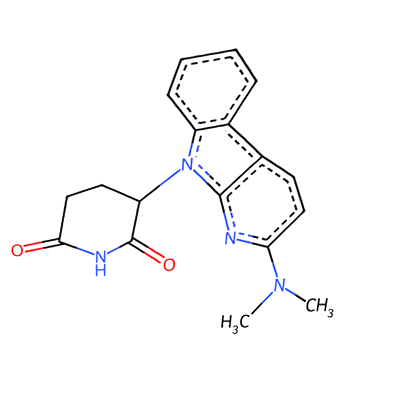 CN(C)c1ccc2c3ccccc3n(C3CCC(=O)NC3=O)c2n1